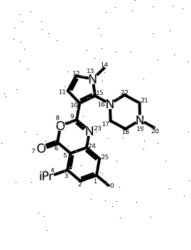 Cc1cc(C(C)C)c2c(=O)oc(-c3ccn(C)c3N3CCN(C)CC3)nc2c1